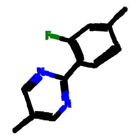 Cc1cnc(-c2ccc(C)cc2F)nc1